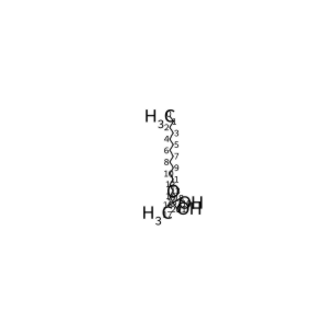 CCCCCCCCCCCCCOCC(CC)(CO)CO